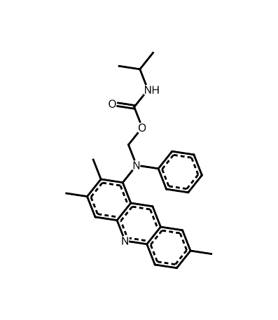 Cc1ccc2nc3cc(C)c(C)c(N(COC(=O)NC(C)C)c4ccccc4)c3cc2c1